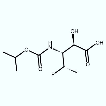 CC(C)OC(=O)N[C@@H]([C@H](C)F)[C@@H](O)C(=O)O